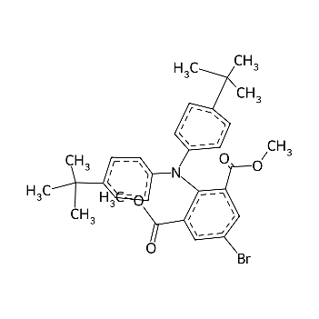 COC(=O)c1cc(Br)cc(C(=O)OC)c1N(c1ccc(C(C)(C)C)cc1)c1ccc(C(C)(C)C)cc1